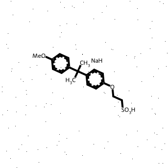 COc1ccc(C(C)(C)c2ccc(OCCS(=O)(=O)O)cc2)cc1.[NaH]